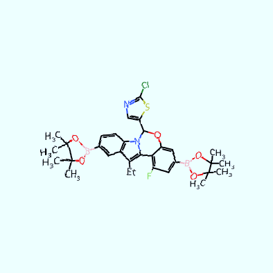 CCc1c2n(c3ccc(B4OC(C)(C)C(C)(C)O4)cc13)C(c1cnc(Cl)s1)Oc1cc(B3OC(C)(C)C(C)(C)O3)cc(F)c1-2